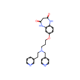 O=C1CC(=O)Nc2cc(OCCCN(CCc3cccnc3)Cc3ccncc3)ccc2N1